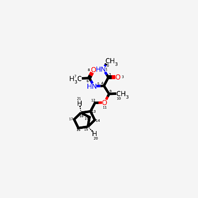 CNC(=O)C(NC(C)=O)C(C)OCC1C[C@H]2CC[C@@H]1C2